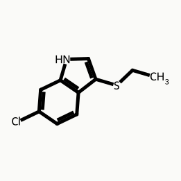 CCSc1c[nH]c2cc(Cl)ccc12